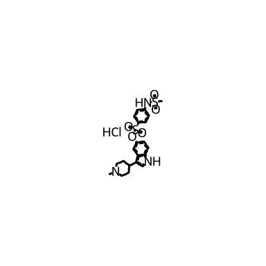 CN1CCC(c2c[nH]c3ccc(OS(=O)(=O)c4ccc(NS(C)(=O)=O)cc4)cc23)CC1.Cl